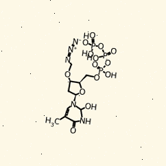 CC1=CN([C@H]2C[C@@H](OCN=[N+]=[N-])[C@@H](COP(=O)(O)OP(=O)(O)OP(=O)(O)O)O2)C(O)NC1=O